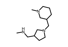 CNCC1CCN(CC2CCCN(C)C2)C1